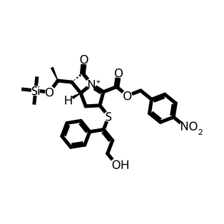 C[C@H](O[Si](C)(C)C)[C@@H]1C(=O)[N+]2=C(C(=O)OCc3ccc([N+](=O)[O-])cc3)C(SC(=CCO)c3ccccc3)C[C@H]12